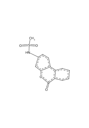 CS(=O)(=O)Nc1ccc2c(c1)oc(=O)c1ccccc12